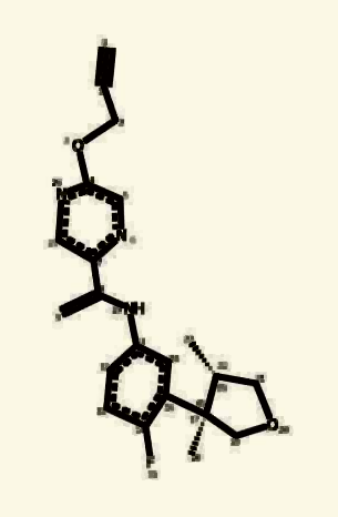 C#CCOc1cnc(C(=C)Nc2ccc(F)c([C@]3(C)COC[C@H]3C)c2)cn1